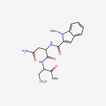 CCCCCCCCCCn1c(C(=O)NC(CC(N)=O)C(=O)NC(CC(=O)O)C(=O)NC)cc2ccccc21